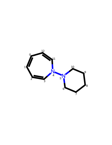 C1=CC=CN(N2CCCCC2)C=C1